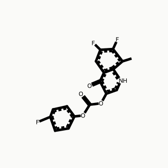 Cc1c(F)c(F)cc2c(=O)c(OC(=O)Oc3ccc(F)cc3)c[nH]c12